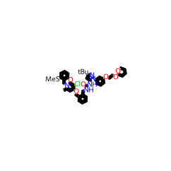 CSc1ccccc1Cn1c(C)cc(OCc2ccccc2CNC(=O)Nc2cc(C(C)(C)C)nn2-c2cccc(OCCOC3CCCCO3)c2)c(Cl)c1=O